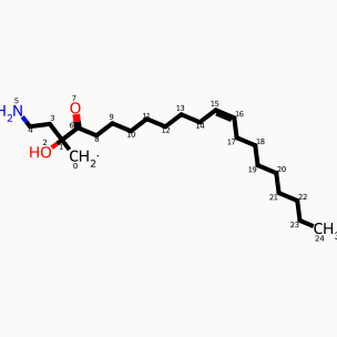 [CH2]C(O)(CCN)C(=O)CCCCCCC/C=C\CCCCCCCC